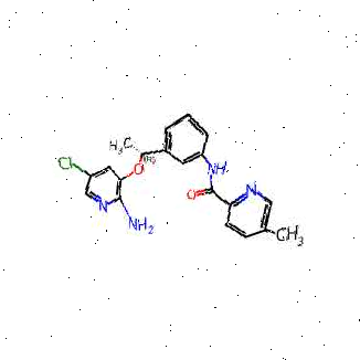 Cc1ccc(C(=O)Nc2cccc([C@@H](C)Oc3cc(Cl)cnc3N)c2)nc1